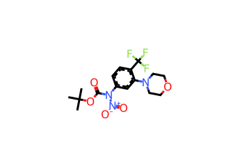 CC(C)(C)OC(=O)N(c1ccc(C(F)(F)F)c(N2CCOCC2)c1)[N+](=O)[O-]